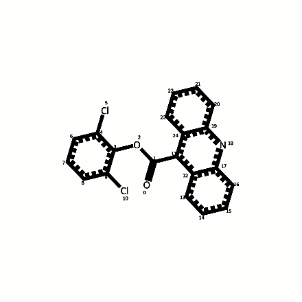 O=C(Oc1c(Cl)cccc1Cl)c1c2ccccc2nc2ccccc12